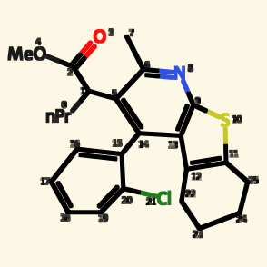 CCCC(C(=O)OC)c1c(C)nc2sc3c(c2c1-c1ccccc1Cl)CCCC3